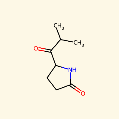 CC(C)C(=O)C1CCC(=O)N1